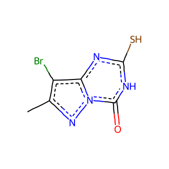 Cc1nn2c(=O)[nH]c(S)nc2c1Br